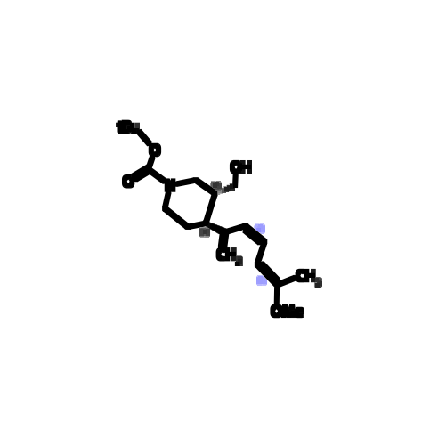 C=C(/C=C\C=C(/C)OC)[C@H]1CCN(C(=O)OC(C)(C)C)C[C@@H]1CO